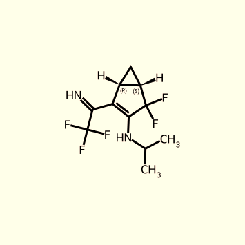 CC(C)NC1=C(C(=N)C(F)(F)F)[C@@H]2C[C@@H]2C1(F)F